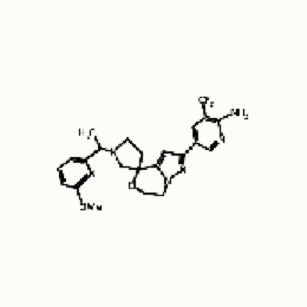 COc1cccc(C(C)N2CCC3(C2)OCCn2nc(-c4cnc(N)c(C(F)(F)F)c4)cc23)n1